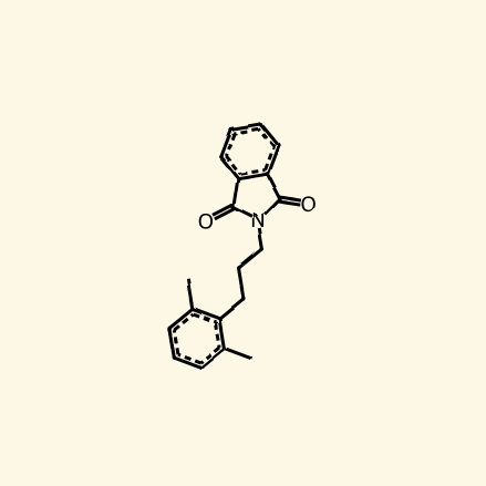 Cc1cccc(C)c1CCCN1C(=O)c2ccccc2C1=O